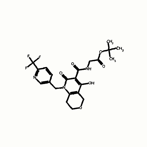 CC(C)(C)OC(=O)CNC(=O)c1c(O)c2c(n(Cc3ccc(C(F)(F)F)nc3)c1=O)CCOC2